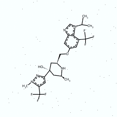 CC(C)n1cnc2cc(OC[C@@H]3C[C@](O)(c4cc(C(F)(F)F)n(C)n4)C[C@H](C)N3)cc(C(F)(F)F)c21